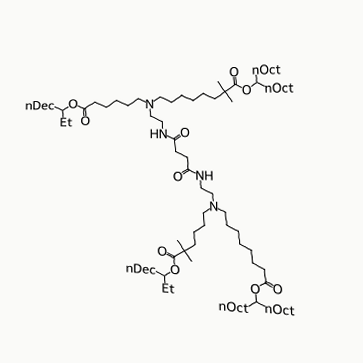 CCCCCCCCCCC(CC)OC(=O)CCCCCN(CCCCCCC(C)(C)C(=O)OC(CCCCCCCC)CCCCCCCC)CCNC(=O)CCC(=O)NCCN(CCCCCCCC(=O)OC(CCCCCCCC)CCCCCCCC)CCCCC(C)(C)C(=O)OC(CC)CCCCCCCCCC